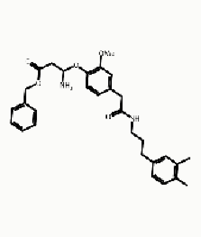 COc1cc(CC(=O)NCCCc2ccc(C)c(C)c2)ccc1OC(N)CC(=O)OCc1ccccc1